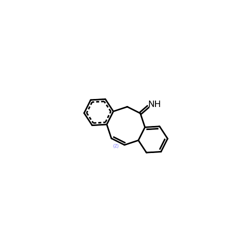 N=C1Cc2ccccc2/C=C\C2CC=CC=C12